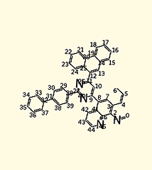 C=Nc1c(/C=C\C)cc(-c2cc(-c3cc4ccccc4c4ccccc34)nc(-c3ccc(-c4ccccc4)cc3)n2)c2cccnc12